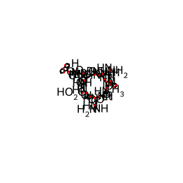 CCC[C@H](NC(=O)CNC(=O)OCC1c2ccccc2-c2ccccc21)C(=O)N[C@H]1CC=CC(C(N)=O)NC(=O)[C@H](CCCNC(=N)N)NC(=O)[C@H](Cc2cc3ccccc3[nH]2)NC(=O)[C@H](C)NC(=O)C(CC)NC(=O)[C@H](CCCNC(=N)N)NC(=O)C2CCCN2C(=O)[C@H](CC(=O)O)NC(=O)[C@H](CO)NC1=O